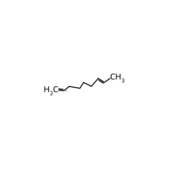 C=[C]CCCC/C=C/C